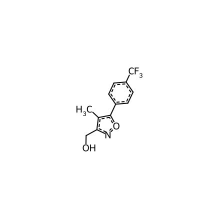 Cc1c(CO)noc1-c1ccc(C(F)(F)F)cc1